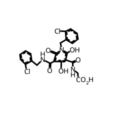 O=C(O)CNC(=O)c1c(O)c(C(=O)NCc2ccccc2Cl)c(=O)n(Cc2ccccc2Cl)c1O